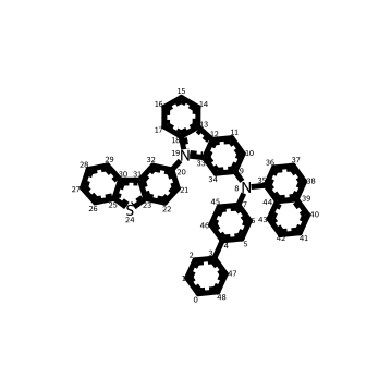 c1ccc(-c2ccc(N(c3ccc4c5ccccc5n(-c5ccc6sc7ccccc7c6c5)c4c3)c3cccc4ccccc34)cc2)cc1